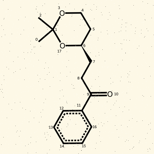 CC1(C)OCC[C@@H](CCC(=O)c2ccccc2)O1